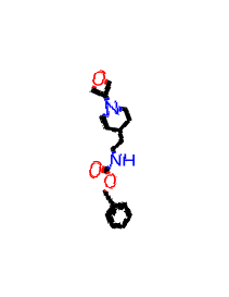 O=C(NCCC1CCN(C2COC2)CC1)OCc1ccccc1